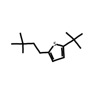 CC(C)(C)CCc1ccc(C(C)(C)C)s1